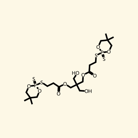 CC1(C)COP(=S)(SCCC(=O)OCC(CO)(CO)COC(=O)CCSP2(=S)OCC(C)(C)CO2)OC1